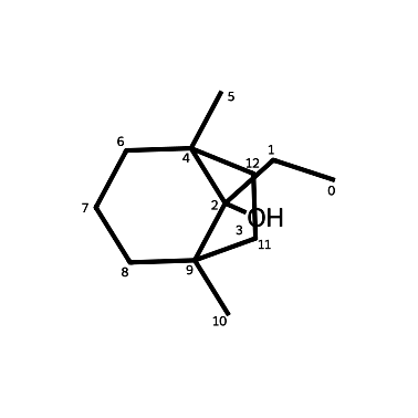 CCC1(O)C2(C)CCCC1(C)CC2